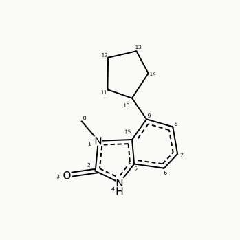 Cn1c(=O)[nH]c2cccc(C3CCCC3)c21